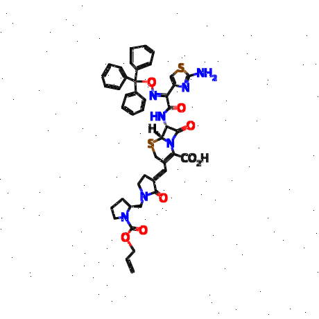 C=CCOC(=O)N1CCC[C@H]1CN1CCC(=CC2=C(C(=O)O)N3C(=O)[C@@H](NC(=O)C(=NOC(c4ccccc4)(c4ccccc4)c4ccccc4)c4csc(N)n4)[C@H]3SC2)C1=O